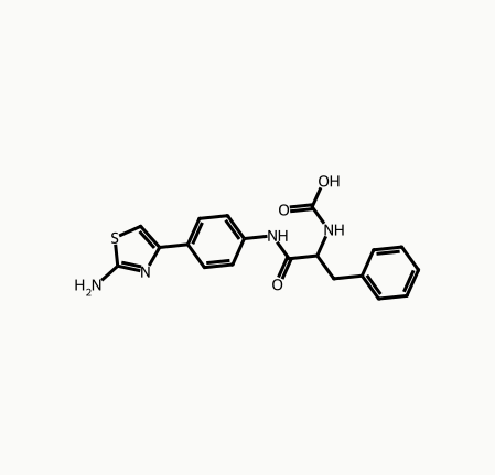 Nc1nc(-c2ccc(NC(=O)C(Cc3ccccc3)NC(=O)O)cc2)cs1